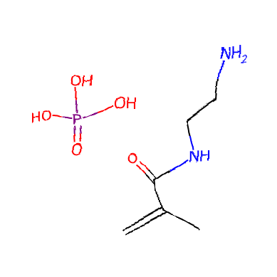 C=C(C)C(=O)NCCN.O=P(O)(O)O